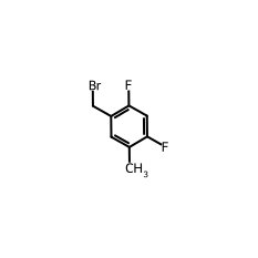 Cc1cc(CBr)c(F)cc1F